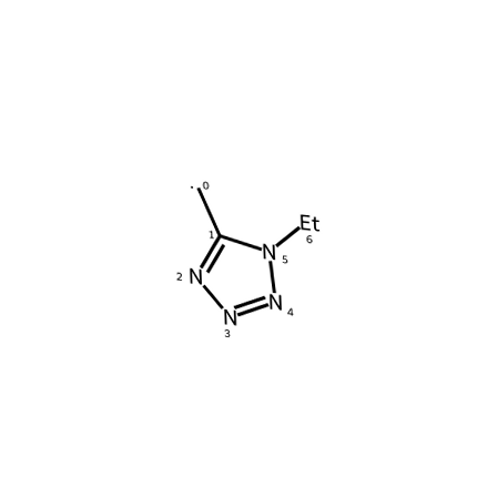 [CH2]c1nnnn1CC